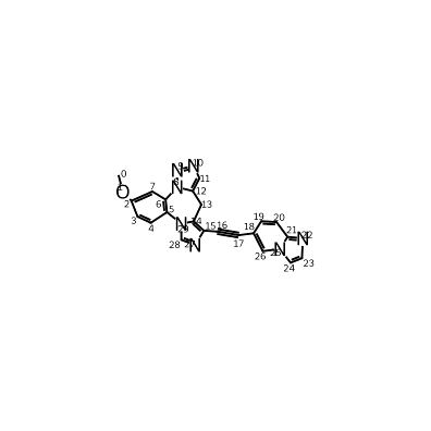 COc1ccc2c(c1)-n1nncc1Cc1c(C#Cc3ccc4nccn4c3)ncn1-2